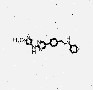 Cn1cc(Nc2ncc(-c3ccc(CCNc4cccnc4)cc3)cn2)cn1